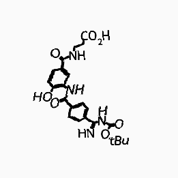 CC(C)(C)OC(=O)NC(=N)c1ccc(C(=O)Nc2cc(C(=O)NCCC(=O)O)ccc2O)cc1